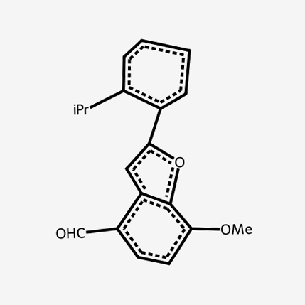 COc1ccc(C=O)c2cc(-c3ccccc3C(C)C)oc12